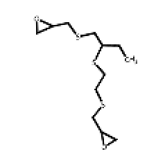 CCC(CSCC1CO1)SCCSCC1CO1